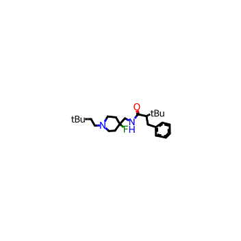 CC(C)(C)CCN1CCC(F)(CNC(=O)C(Cc2ccccc2)C(C)(C)C)CC1